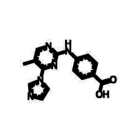 Cc1cnc(Nc2ccc(C(=O)O)cc2)nc1-n1ccnc1